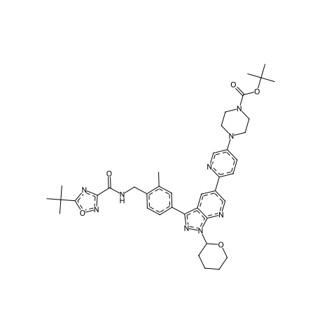 Cc1cc(-c2nn(C3CCCCO3)c3ncc(-c4ccc(N5CCN(C(=O)OC(C)(C)C)CC5)cn4)cc23)ccc1CNC(=O)c1noc(C(C)(C)C)n1